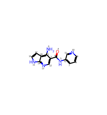 Nc1c(C(=O)Nc2cccnc2)cnc2[nH]ccc12